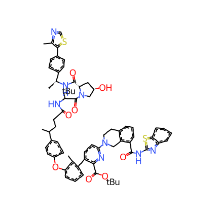 Cc1ncsc1-c1ccc([C@H](C)NC(=O)[C@@H]2C[C@@H](O)CN2C(=O)C(NC(=O)CCC(C)c2ccc(Oc3cccc(-c4ccc(N5CCc6cccc(C(=O)Nc7nc8ccccc8s7)c6C5)nc4C(=O)OC(C)(C)C)c3C)cc2)C(C)(C)C)cc1